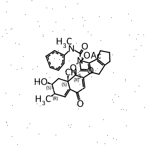 CC(=O)OCC(=O)[C@]12ON(C(=O)N(C)c3ccccc3)C3=C(CC4=C3CCC4)C1=CC(=O)C1=C[C@@H](C)[C@@H](O)C[C@@]12C